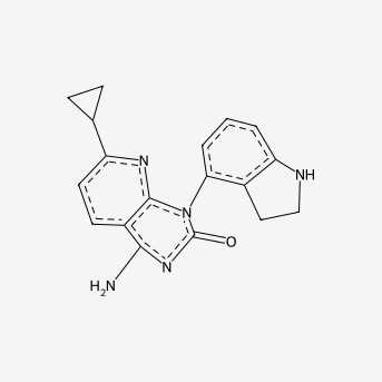 Nc1nc(=O)n(-c2cccc3c2CCN3)c2nc(C3CC3)ccc12